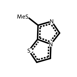 CSc1ncn2ccsc12